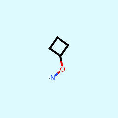 [N]OC1CCC1